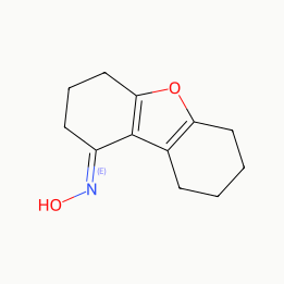 O/N=C1\CCCc2oc3c(c21)CCCC3